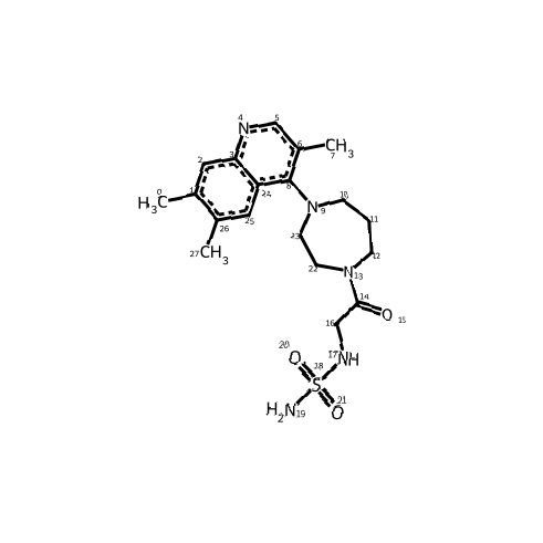 Cc1cc2ncc(C)c(N3CCCN(C(=O)CNS(N)(=O)=O)CC3)c2cc1C